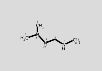 CNCNN(C)C